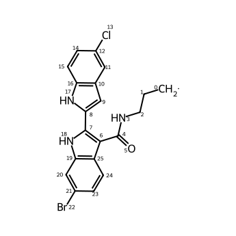 [CH2]CCNC(=O)c1c(-c2cc3cc(Cl)ccc3[nH]2)[nH]c2cc(Br)ccc12